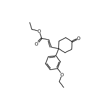 CCOC(=O)C=CC1(c2cccc(OCC)c2)CCC(=O)CC1